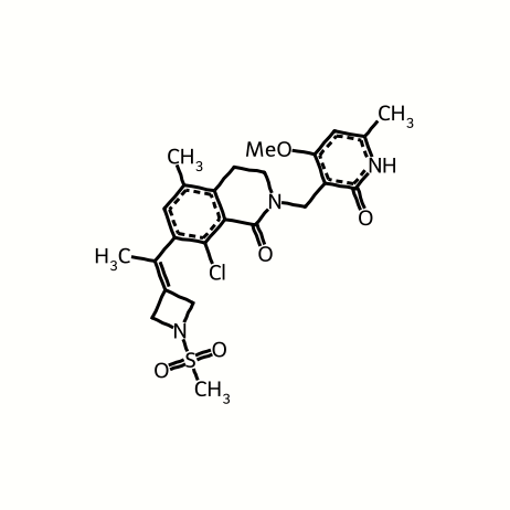 COc1cc(C)[nH]c(=O)c1CN1CCc2c(C)cc(C(C)=C3CN(S(C)(=O)=O)C3)c(Cl)c2C1=O